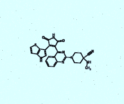 CNC1(C#N)CCN(c2nc(C3=C(c4c[nH]c5ccsc45)C(=O)NC3=O)c3ccccc3n2)CC1